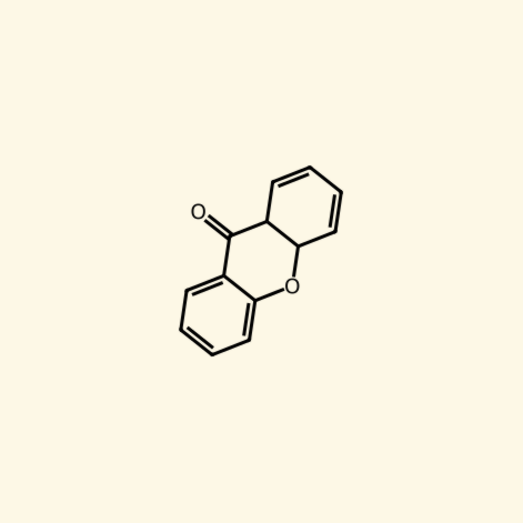 O=C1c2ccccc2OC2C=CC=CC12